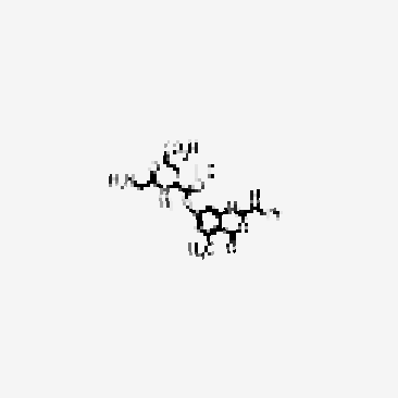 Cc1cc(NC(=O)[C@H](CCC(=O)O)NC(=O)CN)cc2nc(NC(C)C)oc(=O)c12.Cl